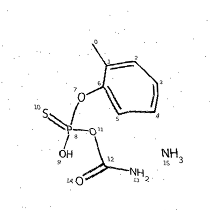 Cc1ccccc1OP(O)(=S)OC(N)=O.N